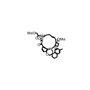 COCC(=O)N[S@@]1(=O)=NC(=O)c2ccc3c(c2)N(C[C@@H]2CC[C@H]2[C@@H](OC)/C=C/CCC1)C[C@@]1(CCCc2cc(C)ccc21)CO3